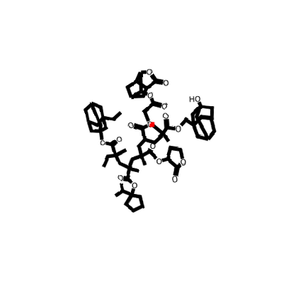 CCC12CC3CC(C1)CC(OC(=O)C(C)(CC)CC(C)(CC(C)(CC(CC(C)(C)C(=O)OCC14CC5CC(CC(O)(C5)C1)C4)C(=O)OCC(=O)OC1C4CC5C(=O)OC1C5C4)C(=O)OC1CCOC1=O)C(=O)OC1(C(C)C)CCCC1)(C3)C2